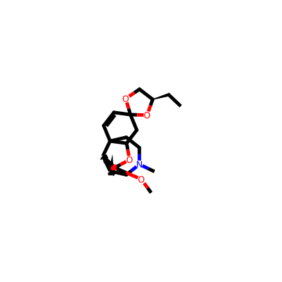 CC[C@@H]1COC2(C=CC34CCN(C)Cc5ccc(OC)c(c53)OC4C2)O1